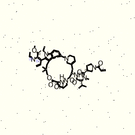 C=CC(=O)N1CC[C@H](C(=O)N(C)[C@H](C(=O)N[C@H]2CC3=CCCN(C3)c3ccc4c(c3)c(c(/C(C=C)=C(/N=C\C)[C@H](C)OC)n4CC)CC(C)(C)COC(=O)[C@@]3(O)CCCN(N3)C2=O)C(C)C)C1